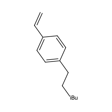 C=Cc1ccc(CCC(C)CC)cc1